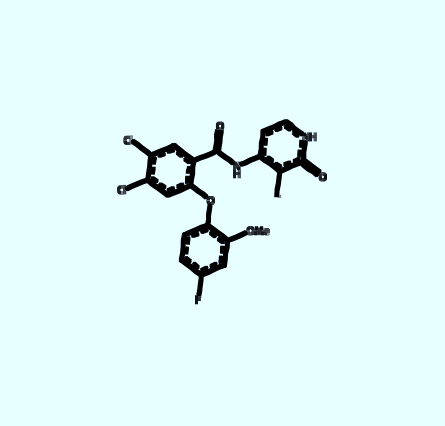 [CH2]c1c(NC(=O)c2cc(Cl)c(Cl)cc2Oc2ccc(F)cc2OC)cc[nH]c1=O